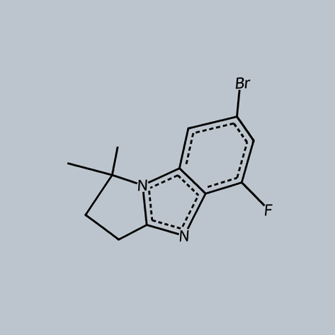 CC1(C)CCc2nc3c(F)cc(Br)cc3n21